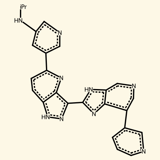 CC(C)Nc1cncc(-c2ccc3[nH]nc(-c4nc5c(-c6cccnc6)cncc5[nH]4)c3n2)c1